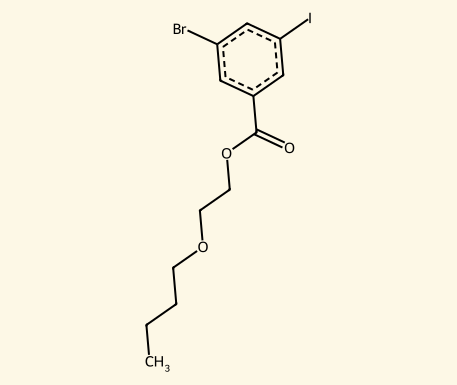 CCCCOCCOC(=O)c1cc(Br)cc(I)c1